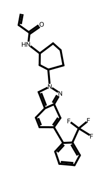 C=CC(=O)NC1CCCC(n2cc3ccc(-c4ccccc4C(F)(F)F)cc3n2)C1